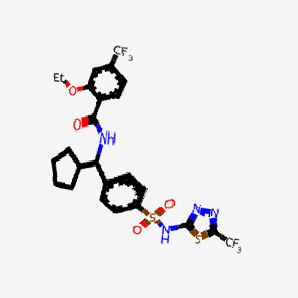 CCOc1cc(C(F)(F)F)ccc1C(=O)NC(c1ccc(S(=O)(=O)Nc2nnc(C(F)(F)F)s2)cc1)C1CCCC1